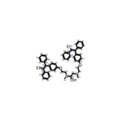 CC/C(=C(\c1ccccc1)c1ccc(OCCN(C)CC(O)N(C)CCOc2ccc(/C(=C(/CC)c3ccccc3)c3ccccc3)cc2)cc1)c1ccccc1